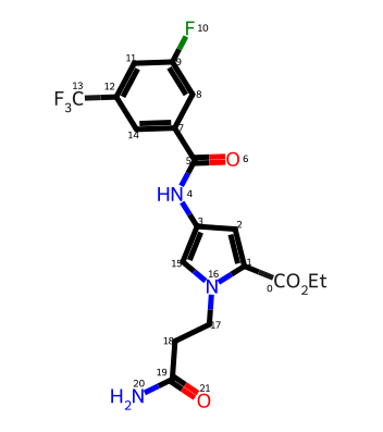 CCOC(=O)c1cc(NC(=O)c2cc(F)cc(C(F)(F)F)c2)cn1CCC(N)=O